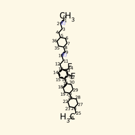 C/C=C/CCC1CCC(/C=C/CCc2ccc(C3=CCC(C4CCC(CC)CC4)CC3)c(F)c2F)CC1